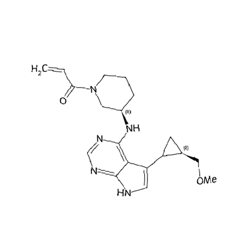 C=CC(=O)N1CCC[C@@H](Nc2ncnc3[nH]cc(C4C[C@H]4COC)c23)C1